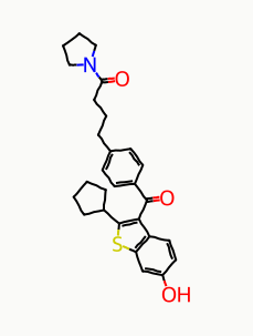 O=C(c1ccc(CCCC(=O)N2CCCC2)cc1)c1c(C2CCCC2)sc2cc(O)ccc12